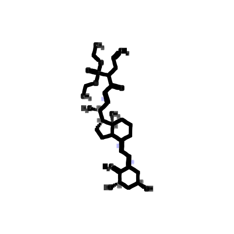 C=CCC(C(=O)/C=C/[C@@H](C)[C@H]1CCC2/C(=C/C=C3/C[C@@H](O)C[C@H](O)C3=C)CCC[C@@]21C)P(=O)(OCC)OCC